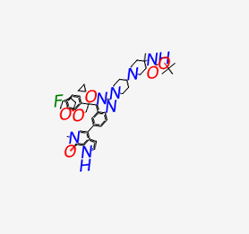 Cn1cc(-c2ccc3nc(N4CCC(N5CCC(C)(NC(=O)OC(C)(C)C)CC5)CC4)nc(C(COC4CCCCO4)(OC4CC4)c4ccc(F)cc4)c3c2)c2cc[nH]c2c1=O